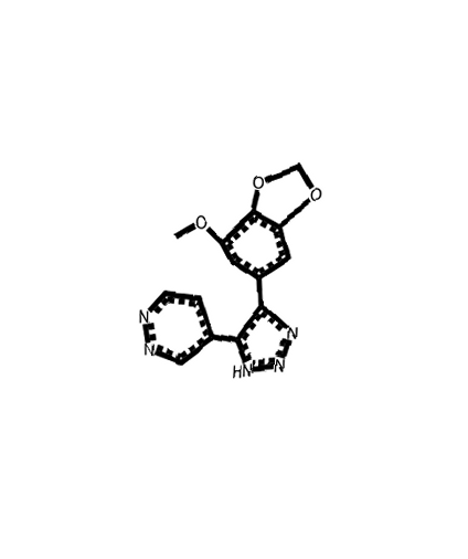 COc1cc(-c2nn[nH]c2-c2ccnnc2)cc2c1OCO2